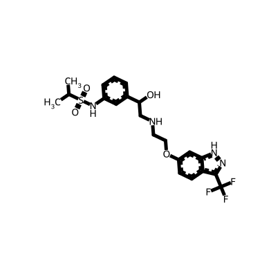 CC(C)S(=O)(=O)Nc1cccc(C(O)CNCCOc2ccc3c(C(F)(F)F)n[nH]c3c2)c1